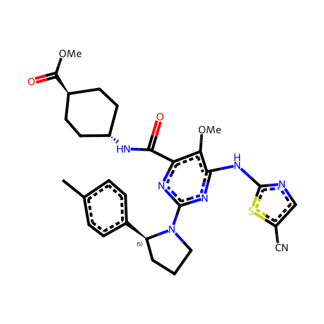 COc1c(Nc2ncc(C#N)s2)nc(N2CCC[C@H]2c2ccc(C)cc2)nc1C(=O)N[C@H]1CC[C@H](C(=O)OC)CC1